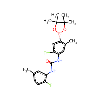 Cc1cc(NC(=O)Nc2cc(C(F)(F)F)ccc2F)c(F)cc1B1OC(C)(C)C(C)(C)O1